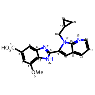 COc1cc(C(=O)O)cc2nc(-c3cc4cccnc4n3CC3CC3)[nH]c12